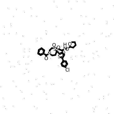 O=C(C[C@]1(c2ccc(-c3ccc(Cl)cc3)s2)CCN(C(=O)c2ccccc2)CCS1(=O)=O)NOC1CCCCO1